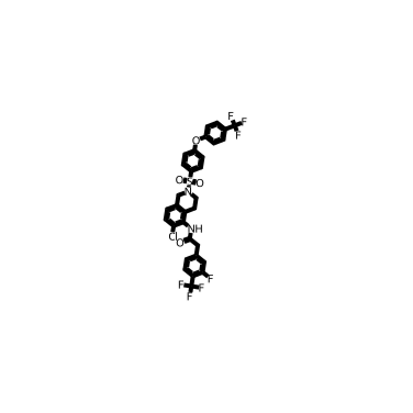 O=C(Cc1ccc(C(F)(F)F)c(F)c1)Nc1c(Cl)ccc2c1CCN(S(=O)(=O)c1ccc(Oc3ccc(C(F)(F)F)cc3)cc1)C2